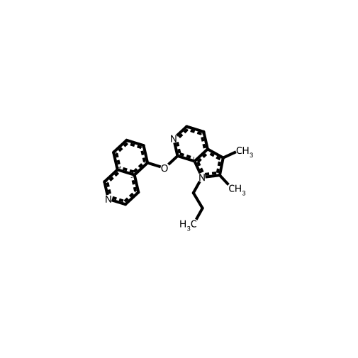 CCCn1c(C)c(C)c2ccnc(Oc3cccc4cnccc34)c21